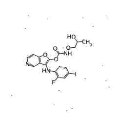 CC(O)CONC(=O)Oc1oc2ccncc2c1Nc1ccc(I)cc1F